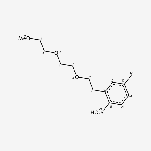 COCCOCCOCCc1cc(C)ccc1S(=O)(=O)O